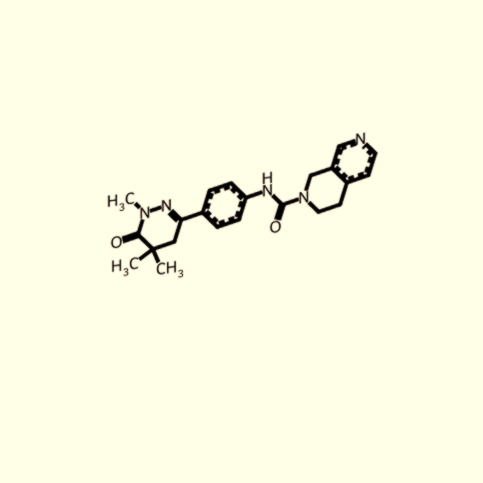 CN1N=C(c2ccc(NC(=O)N3CCc4ccncc4C3)cc2)CC(C)(C)C1=O